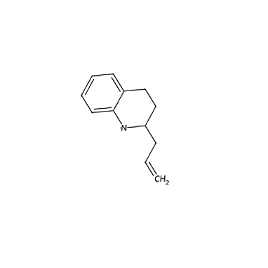 C=CCC1CCc2ccccc2[N]1